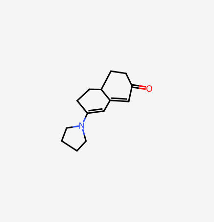 O=C1C=C2C=C(N3CCCC3)CCC2CC1